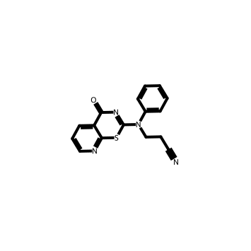 N#CCCN(c1ccccc1)c1nc(=O)c2cccnc2s1